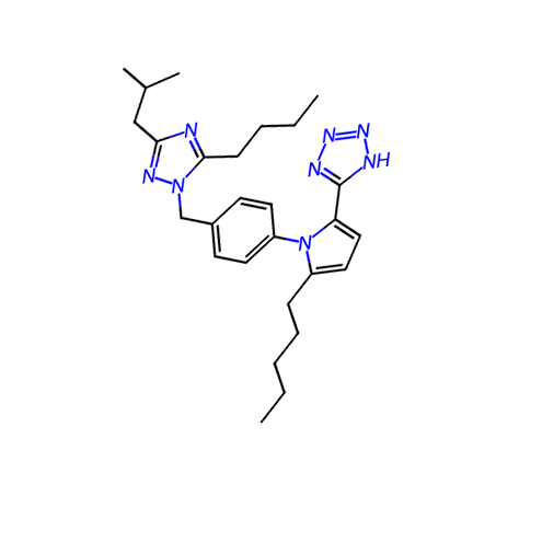 CCCCCc1ccc(-c2nnn[nH]2)n1-c1ccc(Cn2nc(CC(C)C)nc2CCCC)cc1